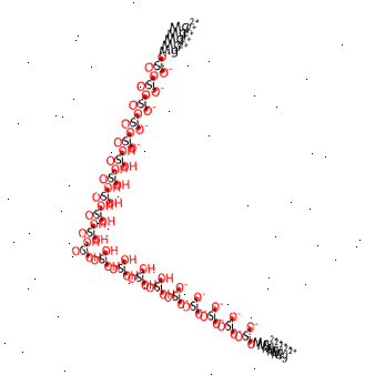 O=[Si](O)O.O=[Si](O)O.O=[Si](O)O.O=[Si](O)O.O=[Si](O)O.O=[Si](O)O.O=[Si](O)O.O=[Si](O)O.O=[Si](O)O.O=[Si](O)O.O=[Si]([O-])[O-].O=[Si]([O-])[O-].O=[Si]([O-])[O-].O=[Si]([O-])[O-].O=[Si]([O-])[O-].O=[Si]([O-])[O-].O=[Si]([O-])[O-].O=[Si]([O-])[O-].O=[Si]([O-])[O-].O=[Si]([O-])[O-].[Mg+2].[Mg+2].[Mg+2].[Mg+2].[Mg+2].[Mg+2].[Mg+2].[Mg+2].[Mg+2].[Mg+2]